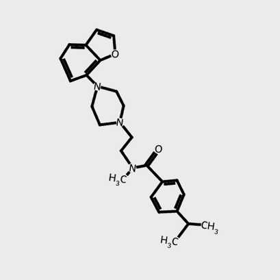 CC(C)c1ccc(C(=O)N(C)CCN2CCN(c3cccc4ccoc34)CC2)cc1